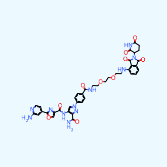 NC(=O)c1nn(-c2ccc(C(=O)NCCOCCOCCNc3cccc4c3C(=O)N(C3CCC(=O)NC3=O)C4=O)cc2)cc1NC(=O)c1coc(-c2ccnc(N)c2)n1